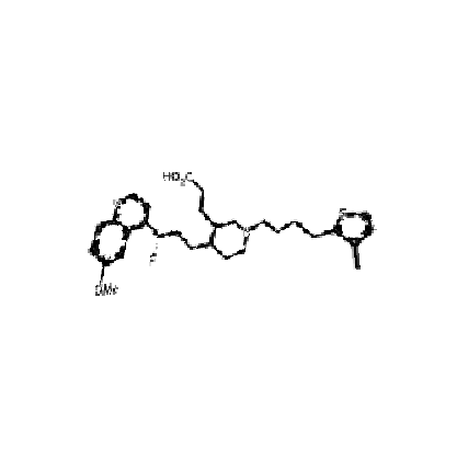 COc1ccc2nccc([C@@H](F)CCC3CCN(CCCCc4sccc4C)CC3CCC(=O)O)c2c1